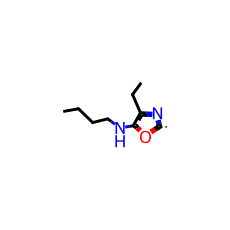 CCCCNc1o[c]nc1CC